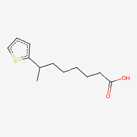 CC(CCCCCC(=O)O)c1cccs1